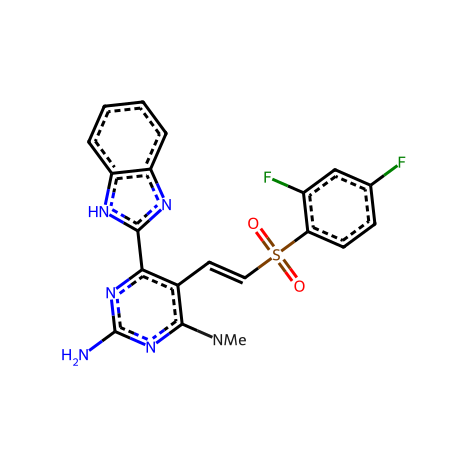 CNc1nc(N)nc(-c2nc3ccccc3[nH]2)c1C=CS(=O)(=O)c1ccc(F)cc1F